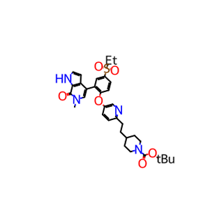 CCS(=O)(=O)c1ccc(Oc2ccc(CCC3CCN(C(=O)OC(C)(C)C)CC3)nc2)c(-c2cn(C)c(=O)c3[nH]ccc23)c1